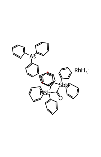 O=[C]([SbH]([c]1ccccc1)([c]1ccccc1)[c]1ccccc1)[SbH]([c]1ccccc1)([c]1ccccc1)[c]1ccccc1.[RhH3].c1ccc([As](c2ccccc2)c2ccccc2)cc1